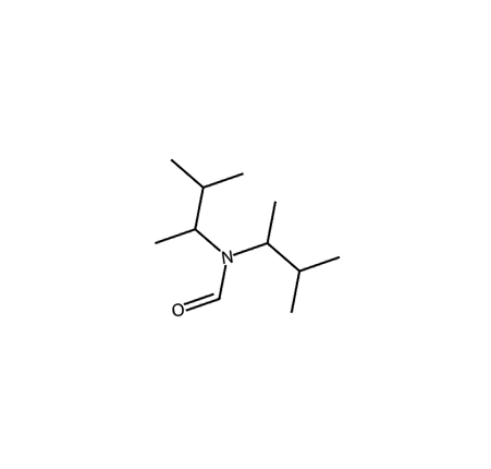 CC(C)C(C)N(C=O)C(C)C(C)C